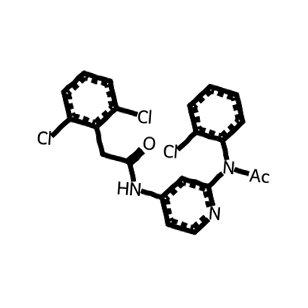 CC(=O)N(c1cc(NC(=O)Cc2c(Cl)cccc2Cl)ccn1)c1ccccc1Cl